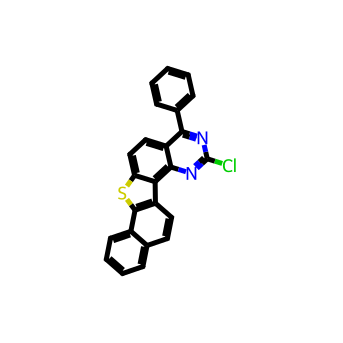 Clc1nc(-c2ccccc2)c2ccc3sc4c5ccccc5ccc4c3c2n1